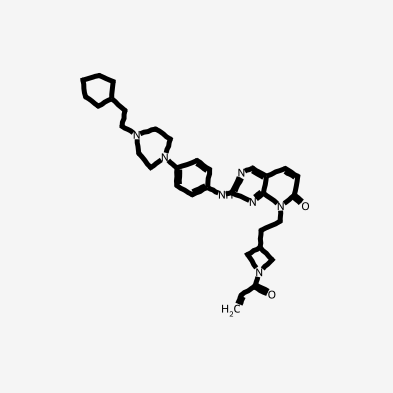 C=CC(=O)N1CC(CCn2c(=O)ccc3cnc(Nc4ccc(N5CCN(CCC6CCCCC6)CC5)cc4)nc32)C1